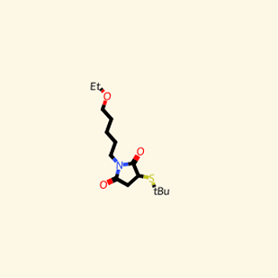 CCOCCCCCN1C(=O)CC(SC(C)(C)C)C1=O